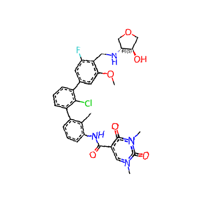 COc1cc(-c2cccc(-c3cccc(NC(=O)c4cn(C)c(=O)n(C)c4=O)c3C)c2Cl)cc(F)c1CN[C@@H]1COC[C@H]1O